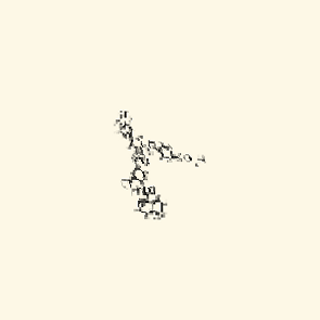 O=C(Nc1ccc(CC(=O)N2C[C@@H](N3CCN(CC(F)(F)F)CC3)C[C@H]2CO[C@H]2CC[C@H](C(=O)O)CC2)cc1Cl)c1nccc2ccccc12